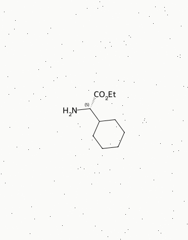 CCOC(=O)[C@@H](N)C1CCCCC1